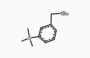 CC(C)(C)Cc1cccc(S(C)(C)C)c1